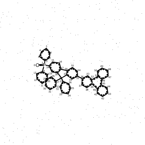 O=P(c1ccccc1)(c1ccccc1)c1ccc2c(c1)C(c1ccccc1)(c1ccccc1)c1cc(-c3ccc4c5ccccc5c5ccccc5c4c3)ccc1-2